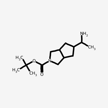 CC(N)C1CC2CN(C(=O)OC(C)(C)C)CC2C1